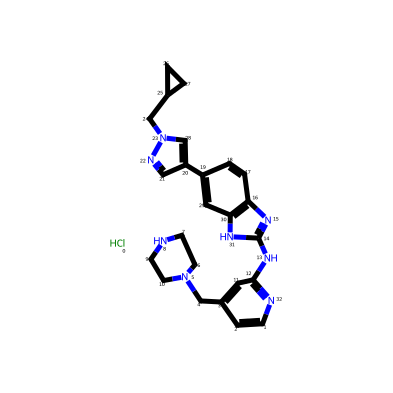 Cl.c1cc(CN2CCNCC2)cc(Nc2nc3ccc(-c4cnn(CC5CC5)c4)cc3[nH]2)n1